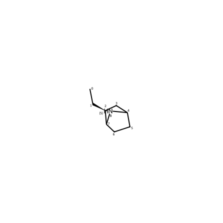 CC[C@H]1CC2CCC1N2